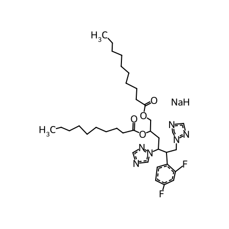 CCCCCCCCCC(=O)OCC(CC(C(Cn1cncn1)c1ccc(F)cc1F)n1cncn1)OC(=O)CCCCCCCCC.[NaH]